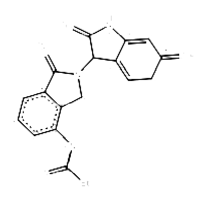 CCC(=O)Nc1cccc2c1CN(C1C(=O)NC3=CC(=O)CC=C31)C2=O